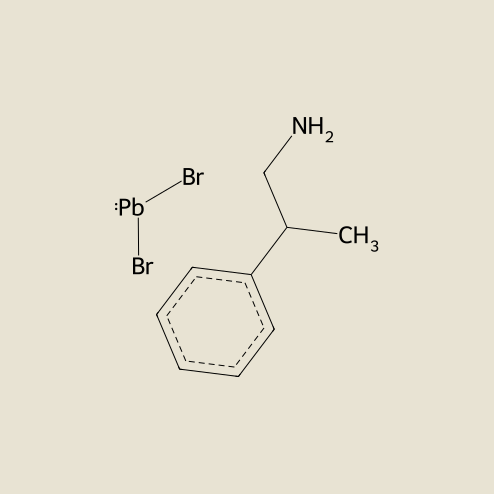 CC(CN)c1ccccc1.[Br][Pb][Br]